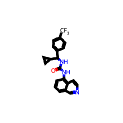 O=C(Nc1cccc2cnccc12)NC(c1ccc(C(F)(F)F)cc1)C1CC1